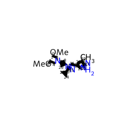 COCCN(CCOC)C12CC(n3cc(-c4cnc(N)c(C)c4)nc3C3CC3)(C1)C2